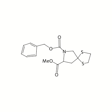 COC(=O)C1CC2(CN1C(=O)OCc1ccccc1)SCCS2